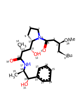 CC[C@H](C)C[C@@H](CC(=O)N1CCC[C@H]1[C@H](O)[C@@H](C)C(=O)N[C@H](C)[C@@H](O)c1ccccc1)OC